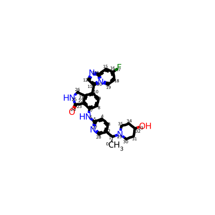 C[C@H](c1ccc(Nc2ccc(-c3cnc4cc(F)ccn34)c3c2C(=O)NC3)nc1)N1CCC(O)CC1